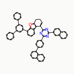 C1=C(c2nc(-c3ccc(-c4cccc5ccccc45)cc3)nc(-c3ccc4ccccc4c3)n2)c2c(oc3c(-c4cc(-c5ccccc5)cc(-c5ccccc5)c4)cccc23)CC1